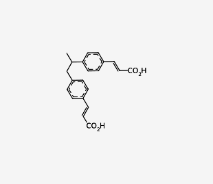 CC(Cc1ccc(C=CC(=O)O)cc1)c1ccc(C=CC(=O)O)cc1